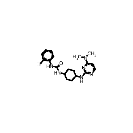 CN(C)c1ccnc(NC2CCC(NC(=O)Nc3ccccc3Cl)CC2)n1